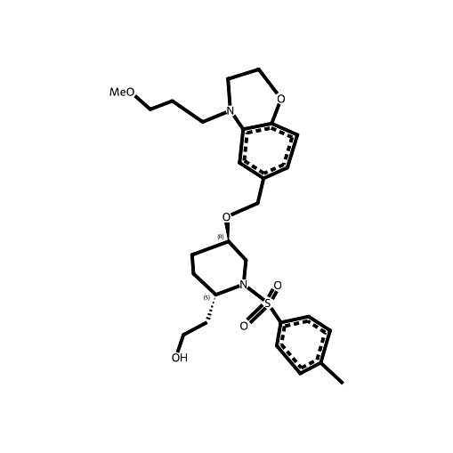 COCCCN1CCOc2ccc(CO[C@@H]3CC[C@@H](CCO)N(S(=O)(=O)c4ccc(C)cc4)C3)cc21